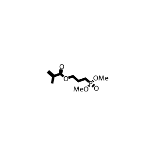 C=C(C)C(=O)OCCCP(=O)(OC)OC